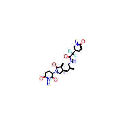 C=C(/C=C1/CN(C2CCC(=O)NC2=O)C(=O)C1=C)CNC(=O)C(F)(F)c1ccc(=O)n(C)c1